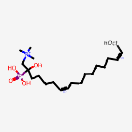 CCCCCCCC/C=C\CCCCCCC/C=C\CCCCC(O)(C[N+](C)(C)C)P(=O)(O)O